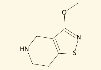 COc1nsc2c1CNCC2